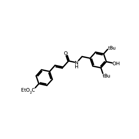 CCOC(=O)c1ccc(C=CC(=O)NCc2cc(C(C)(C)C)c(O)c(C(C)(C)C)c2)cc1